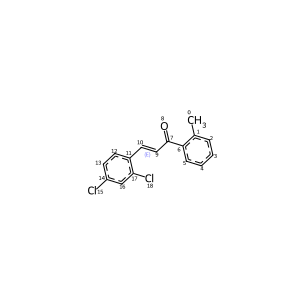 Cc1ccccc1C(=O)/C=C/c1ccc(Cl)cc1Cl